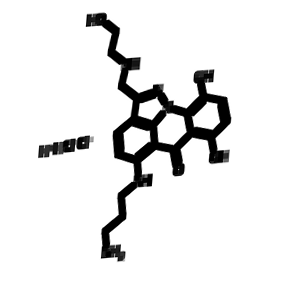 NCCCNc1ccc2c(CNCCO)nn3c4c(O)ccc(O)c4c(=O)c1c23.[Cl-].[Cl-].[H+].[H+]